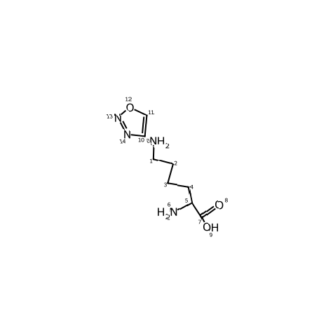 NCCCCC(N)C(=O)O.c1conn1